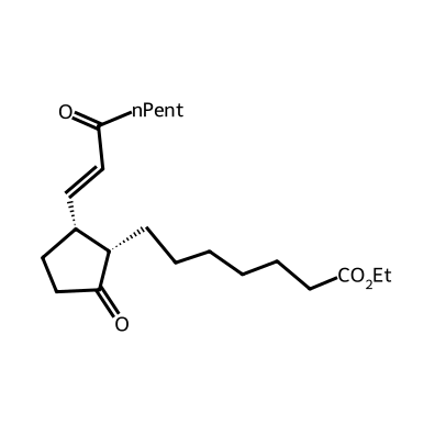 CCCCCC(=O)C=C[C@H]1CCC(=O)[C@H]1CCCCCCC(=O)OCC